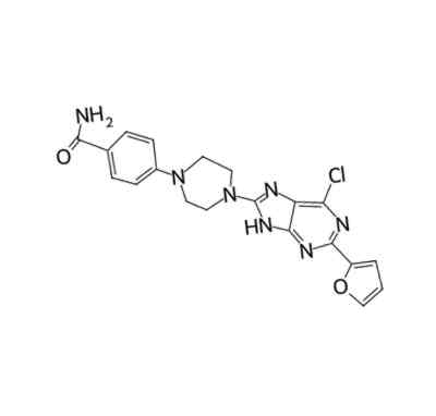 NC(=O)c1ccc(N2CCN(c3nc4c(Cl)nc(-c5ccco5)nc4[nH]3)CC2)cc1